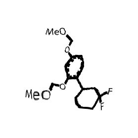 COCOc1ccc(C2CCCC(F)(F)C2)c(OCOC)c1